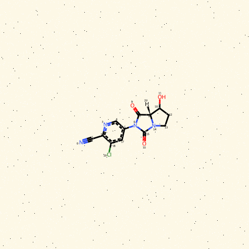 N#Cc1ncc(N2C(=O)[C@@H]3C(O)CCN3C2=O)cc1Cl